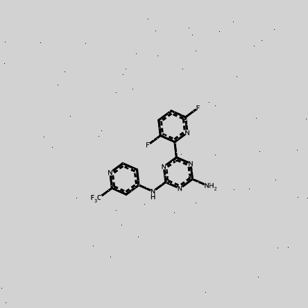 Nc1nc(Nc2ccnc(C(F)(F)F)c2)nc(-c2nc(F)ccc2F)n1